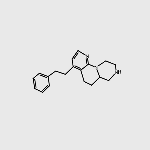 c1ccc(CCc2ccnc3c2CCC2CNCCN32)cc1